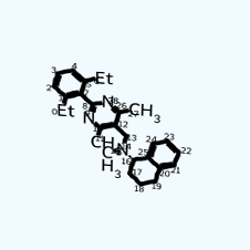 CCc1cccc(CC)c1-c1nc(C)c(CN(C)[C@H]2CCCc3ccccc32)c(C)n1